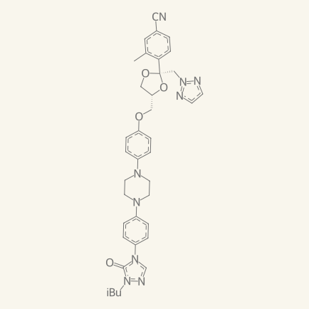 CCC(C)n1ncn(-c2ccc(N3CCN(c4ccc(OC[C@@H]5CO[C@@](Cn6nccn6)(c6ccc(C#N)cc6C)O5)cc4)CC3)cc2)c1=O